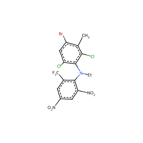 CCN(c1c([N+](=O)[O-])cc([N+](=O)[O-])cc1C(F)(F)F)c1c(Cl)cc(Br)c(C)c1Cl